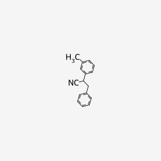 Cc1cccc(C(C#N)Cc2ccccc2)c1